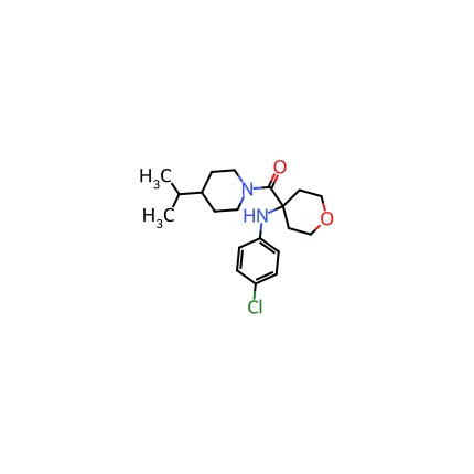 CC(C)C1CCN(C(=O)C2(Nc3ccc(Cl)cc3)CCOCC2)CC1